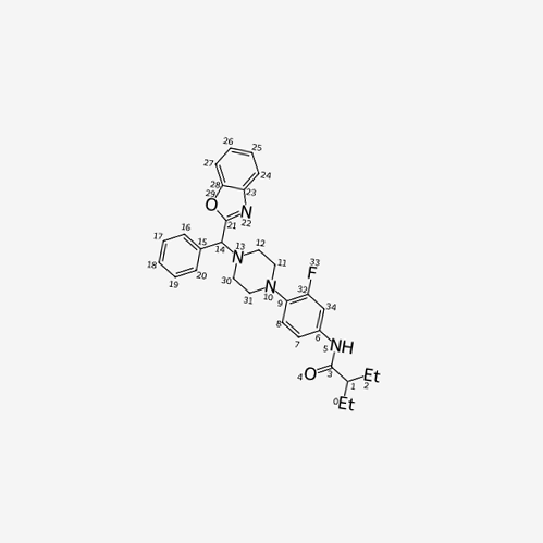 CCC(CC)C(=O)Nc1ccc(N2CCN(C(c3ccccc3)c3nc4ccccc4o3)CC2)c(F)c1